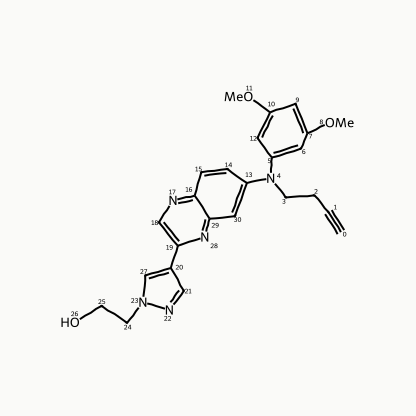 C#CCCN(c1cc(OC)cc(OC)c1)c1ccc2ncc(-c3cnn(CCO)c3)nc2c1